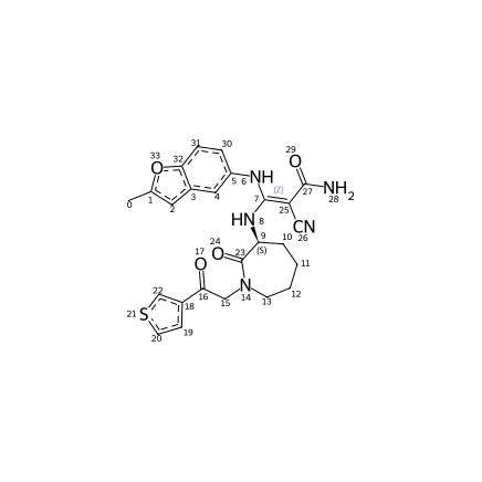 Cc1cc2cc(N/C(N[C@H]3CCCCN(CC(=O)c4ccsc4)C3=O)=C(/C#N)C(N)=O)ccc2o1